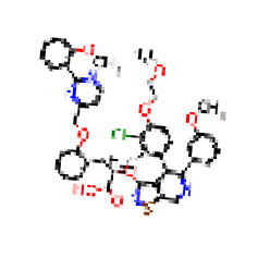 COCCOc1ccc(-c2c(-c3cccc(OC)c3)ncc3snc(O[C@H](Cc4ccccc4OCc4ccnc(-c5ccccc5OC)n4)C(=O)O)c23)c(C)c1Cl